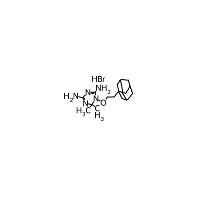 Br.CC1(C)N=C(N)N=C(N)N1OCCC12CC3CC(CC(C3)C1)C2